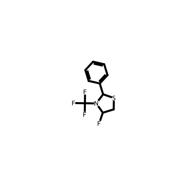 FC1CSC(c2ccccc2)N1C(F)(F)F